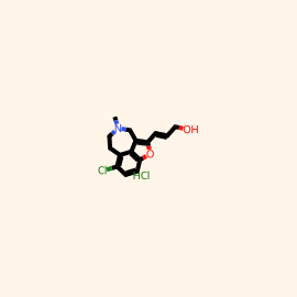 CN1CCc2c(Cl)ccc3oc(/C=C/CO)c(c23)C1.Cl